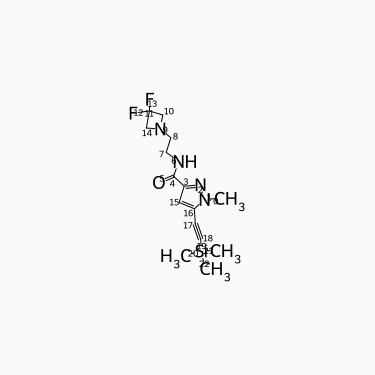 Cn1nc(C(=O)NCCN2CC(F)(F)C2)cc1C#C[Si](C)(C)C